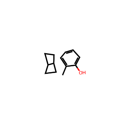 C1CC2CCC12.Cc1ccccc1O